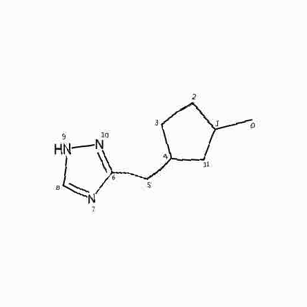 CC1CCC(Cc2nc[nH]n2)C1